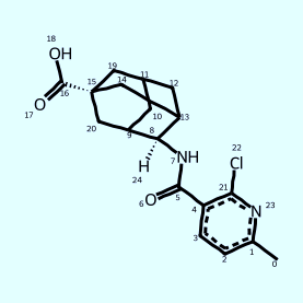 Cc1ccc(C(=O)N[C@H]2C3CC4CC2C[C@](C(=O)O)(C4)C3)c(Cl)n1